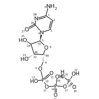 Nc1ccn([C@H]2O[C@H](COP(=O)(O)OP(=O)(O)OP(=O)(O)O)[C@H](O)C2O)c(=O)n1